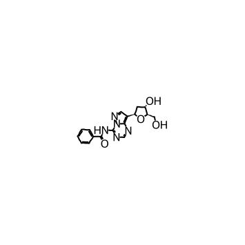 O=C(Nc1ncnc2c([C@H]3C[C@H](O)[C@@H](CO)O3)cnn12)c1ccccc1